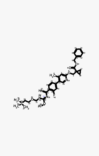 Cc1cc(OCC2(C(=O)OCc3ccccc3)CC2)ncc1-c1ccc(C(=N)/N=C(\NCOCCS(C)(C)C)OC(C)C)c(F)c1